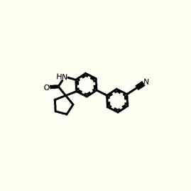 N#Cc1cccc(-c2ccc3c(c2)C2(CCCC2)C(=O)N3)c1